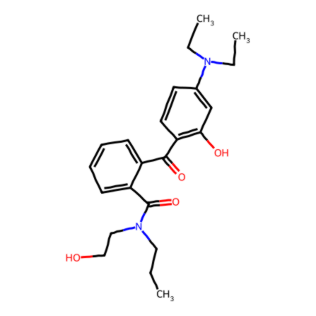 CCCN(CCO)C(=O)c1ccccc1C(=O)c1ccc(N(CC)CC)cc1O